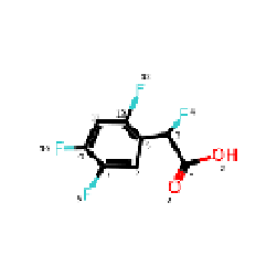 O=C(O)C(F)c1cc(F)c(F)cc1F